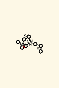 c1ccc(-c2nc(-c3ccc(-c4cccc5c4sc4ccccc45)cc3)nc(-c3cccc4sc5ccc(-c6nc7ccccc7n6-c6ccccc6)cc5c34)n2)cc1